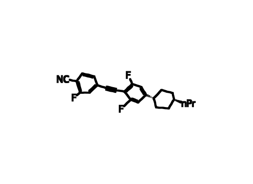 CCC[C@H]1CC[C@H](c2cc(F)c(C#Cc3ccc(C#N)c(F)c3)c(F)c2)CC1